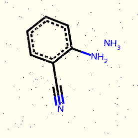 N.N#Cc1ccccc1N